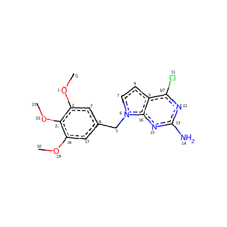 COc1cc(Cn2ccc3c(Cl)nc(N)nc32)cc(OC)c1OC